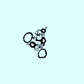 O=C(Nc1ccc(F)cc1F)N(Cc1cccc(CN(C(=O)Nc2ccc(F)cc2F)C2CCCCCCCCCCC2)c1)C1CCCCCCCCCCC1